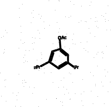 [CH2]C(C)c1cc(CCC)cc(OC(C)=O)c1